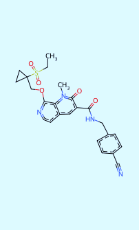 CCS(=O)(=O)C1(COc2nccc3cc(C(=O)NCc4ccc(C#N)cc4)c(=O)n(C)c23)CC1